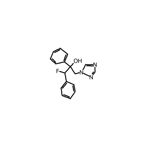 OC(Cn1cncn1)(c1ccccc1)C(F)c1ccccc1